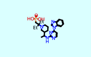 CCC(CC)(CP(=O)(O)O)N1CCCC(C(C)Nc2nccc(-n3cnc4ccccc43)n2)C1